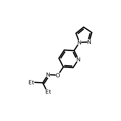 CCC(CC)=NOc1ccc(-n2cccn2)nc1